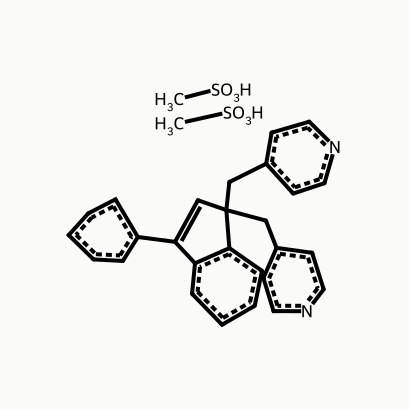 C1=C(c2ccccc2)c2ccccc2C1(Cc1ccncc1)Cc1ccncc1.CS(=O)(=O)O.CS(=O)(=O)O